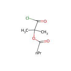 CCCC(=O)OC(C)(C)C(=O)Cl